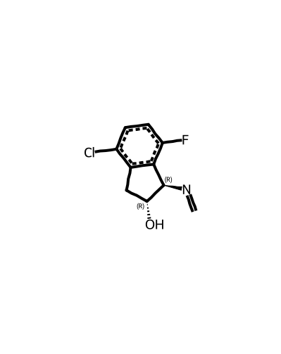 C=N[C@@H]1c2c(F)ccc(Cl)c2C[C@H]1O